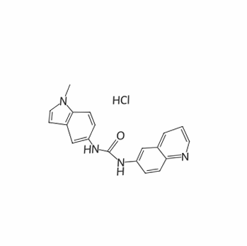 Cl.Cn1ccc2cc(NC(=O)Nc3ccc4ncccc4c3)ccc21